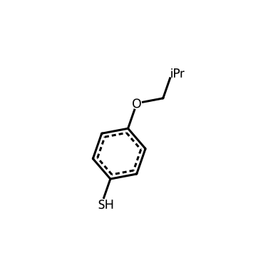 CC(C)COc1ccc(S)cc1